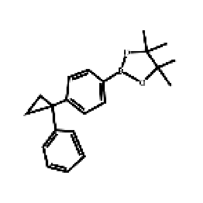 CC1(C)OB(c2ccc(C3(c4ccccc4)CC3)cc2)OC1(C)C